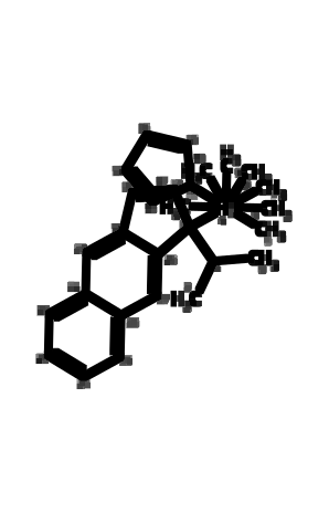 CC(C)[C]1([Hf]([CH3])([CH3])([CH3])([CH3])([CH3])([CH3])([CH3])[CH]2C=CC=C2)C=Cc2cc3ccccc3cc21